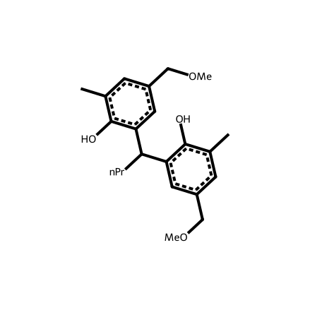 CCCC(c1cc(COC)cc(C)c1O)c1cc(COC)cc(C)c1O